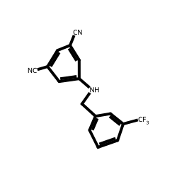 N#Cc1cc(C#N)cc(NCc2cccc(C(F)(F)F)c2)c1